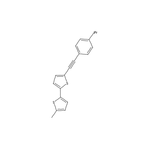 Cc1ccc(-c2ccc(C#Cc3ccc(C(C)C)cc3)s2)s1